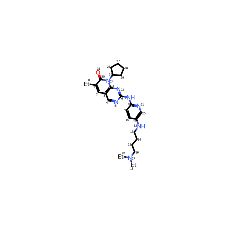 CCc1cc2cnc(Nc3ccc(NCCCCN(CC)CC)cn3)nc2n(C2CCCC2)c1=O